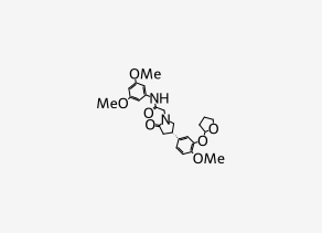 COc1cc(NC(=O)CN2C[C@H](c3ccc(OC)c(OC4CCCO4)c3)CC2=O)cc(OC)c1